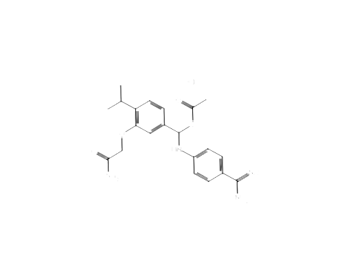 CC(=O)OC(Nc1ccc(C(=N)N)cc1)c1ccc(C(C)C)c(OCC(N)=O)c1.Cl